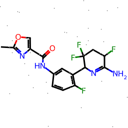 Cc1nc(C(=O)Nc2ccc(F)c(C3N=C(N)C(F)CC3(F)F)c2)co1